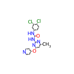 Cc1cc(Oc2ccncc2)nc(NC(=O)Nc2ccc(Cl)c(Cl)c2)n1